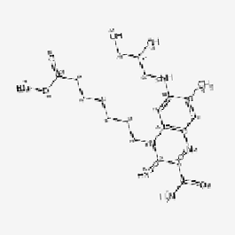 Cc1cc2nc(C(N)=O)c(=N)n(CCCCCCC(=O)OC(C)(C)C)c2cc1NCC(O)CO